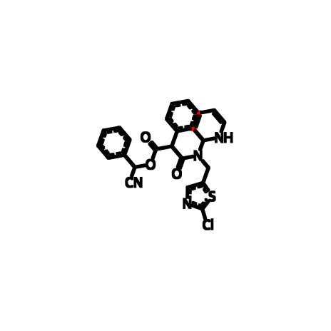 N#CC(OC(=O)C(C(=O)N(Cc1cnc(Cl)s1)C1C=CC=CN1)c1ccccc1)c1ccccc1